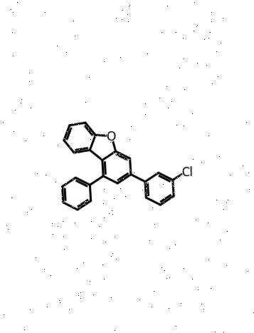 Clc1cccc(-c2cc(-c3ccccc3)c3c(c2)oc2ccccc23)c1